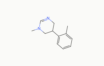 Cc1ccccc1C1CN=CN(C)C1